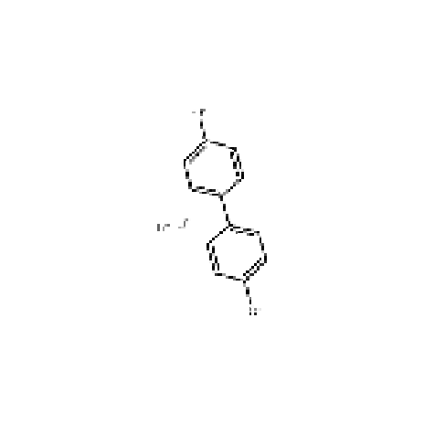 [Li+].[Li+].[O-]c1ccc(-c2ccc([O-])cc2)cc1